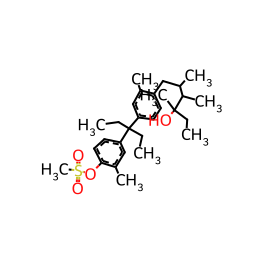 CCC(CC)(c1ccc(CC(C)C(C)C(C)(O)CC)c(C)c1)c1ccc(OS(C)(=O)=O)c(C)c1